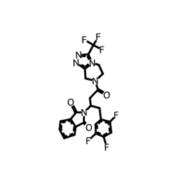 O=C(CC(Cc1cc(F)c(F)cc1F)N1C(=O)c2ccccc2C1=O)N1CCn2c(nnc2C(F)(F)F)C1